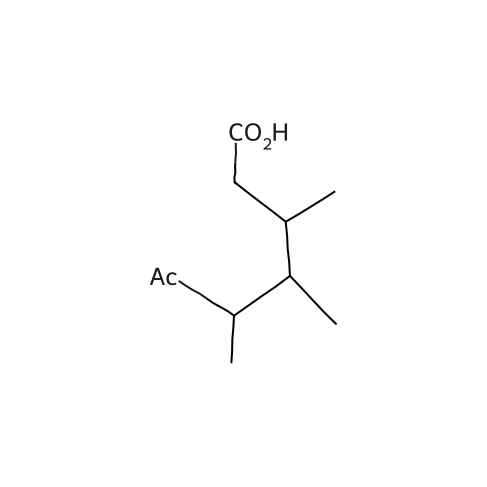 CC(=O)C(C)C(C)C(C)CC(=O)O